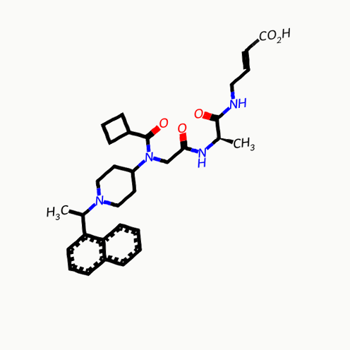 CC(c1cccc2ccccc12)N1CCC(N(CC(=O)N[C@H](C)C(=O)NC/C=C/C(=O)O)C(=O)C2CCC2)CC1